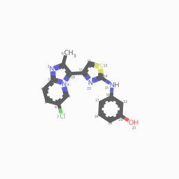 Cc1nc2ccc(Cl)cn2c1-c1csc(Nc2cccc(O)c2)n1